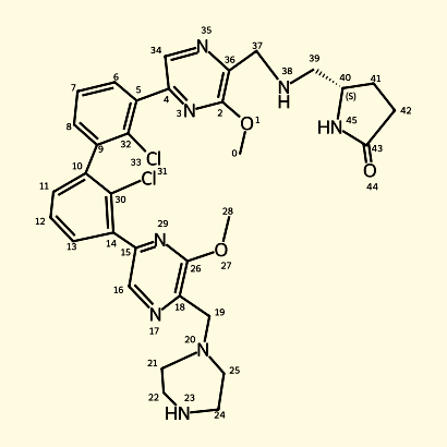 COc1nc(-c2cccc(-c3cccc(-c4cnc(CN5CCNCC5)c(OC)n4)c3Cl)c2Cl)cnc1CNC[C@@H]1CCC(=O)N1